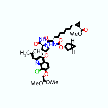 COC(=O)[C@H]1C[C@H]1CCCCCCC[C@H](NC(=O)O[C@@H]1C[C@@H]2C[C@@H]2C1)C(=O)N1C[C@H](Oc2cc(C=C(C)C)nc3c(Cl)c(OCC(OC)OC)ccc23)C[C@H]1C(N)=O